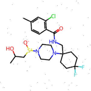 Cc1ccc(C(=O)NCC2(N3CCN([S+]([O-])CC(C)O)CC3)CCC(F)(F)CC2)c(Cl)c1